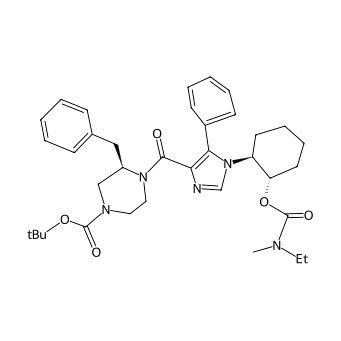 CCN(C)C(=O)O[C@H]1CCCC[C@@H]1n1cnc(C(=O)N2CCN(C(=O)OC(C)(C)C)C[C@H]2Cc2ccccc2)c1-c1ccccc1